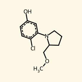 COCC1CCCN1c1cc(O)ccc1Cl